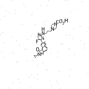 O=C(NC1CC1)c1cccc2sc(-c3nc(NCCCN4CCN(C(=O)O)CC4)ncc3F)cc12